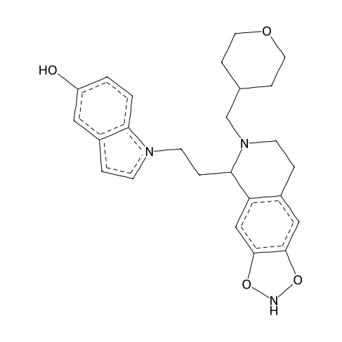 Oc1ccc2c(ccn2CCC2c3cc4c(cc3CCN2CC2CCOCC2)ONO4)c1